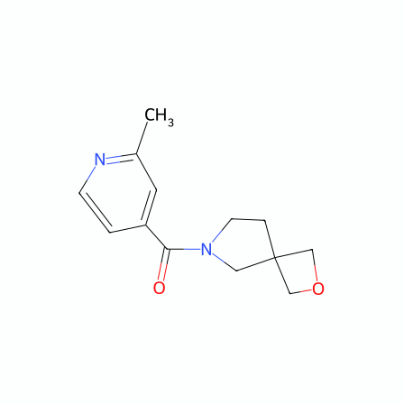 Cc1cc(C(=O)N2CCC3(COC3)C2)ccn1